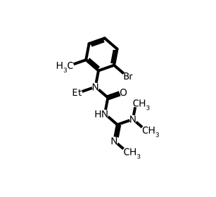 CCN(C(=O)NC(=NC)N(C)C)c1c(C)cccc1Br